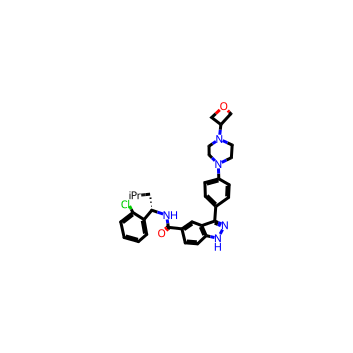 CC(C)C[C@H](NC(=O)c1ccc2[nH]nc(-c3ccc(N4CCN(C5COC5)CC4)cc3)c2c1)c1ccccc1Cl